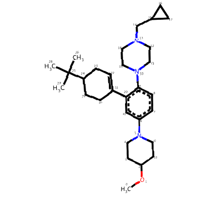 COC1CCN(c2ccc(N3CCN(CC4CC4)CC3)c(C3=CCC(C(C)(C)C)CC3)c2)CC1